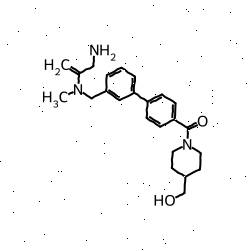 C=C(CN)N(C)Cc1cccc(-c2ccc(C(=O)N3CCC(CO)CC3)cc2)c1